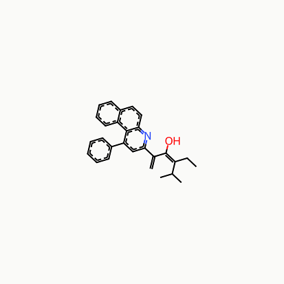 C=C(/C(O)=C(/CC)C(C)C)c1cc(-c2ccccc2)c2c(ccc3ccccc32)n1